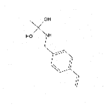 C=Cc1ccc(CNC(C)(O)O)cc1